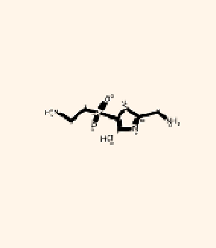 Cl.NCCS(=O)(=O)c1cnc(CN)s1